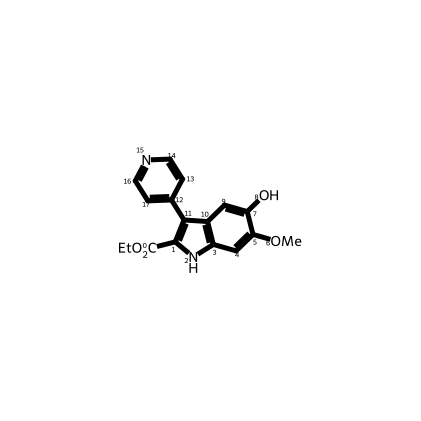 CCOC(=O)c1[nH]c2cc(OC)c(O)cc2c1-c1ccncc1